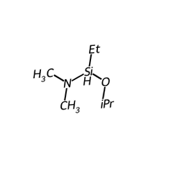 CC[SiH](OC(C)C)N(C)C